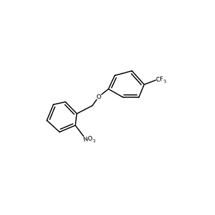 O=[N+]([O-])c1ccccc1COc1ccc(C(F)(F)F)cc1